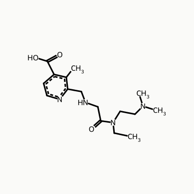 CCN(CCN(C)C)C(=O)CNCc1nccc(C(=O)O)c1C